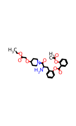 CCOC(=O)COC1CCN(C(=O)C(N)Cc2ccccc2OC(=O)c2ccccc2OC(C)=O)CC1